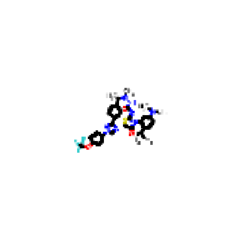 CC(C)c1ccc(N(C)C)cc1N1C(=O)CS/C1=N\C(=O)NN(C)C(C)c1ccc(-c2ncn(-c3ccc(OC(F)(F)F)cc3)n2)cc1